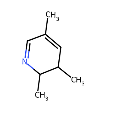 CC1=CC(C)C(C)N=C1